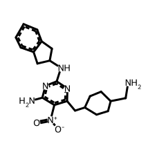 NCC1CCC(Cc2nc(NC3Cc4ccccc4C3)nc(N)c2[N+](=O)[O-])CC1